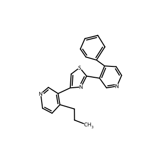 CCCc1ccncc1-c1csc(-c2cnccc2-c2ccccc2)n1